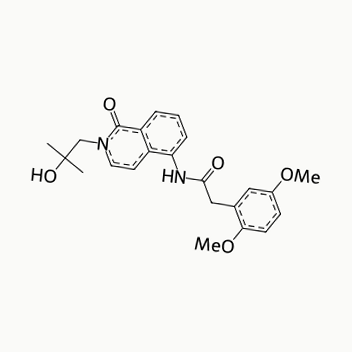 COc1ccc(OC)c(CC(=O)Nc2cccc3c(=O)n(CC(C)(C)O)ccc23)c1